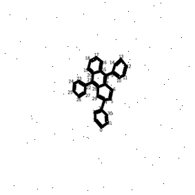 [c]1ccc(-c2ccc3c(-c4ccccc4)c4ccccc4c(-c4ccccc4)c3c2)cc1